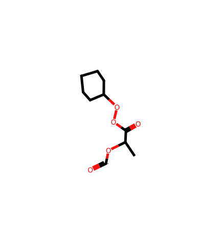 CC(O[C]=O)C(=O)OOC1CCCCC1